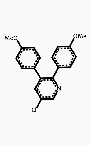 COc1ccc(-c2cc(Cl)cnc2-c2ccc(OC)cc2)cc1